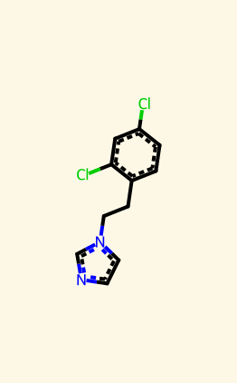 Clc1ccc(CCn2ccnc2)c(Cl)c1